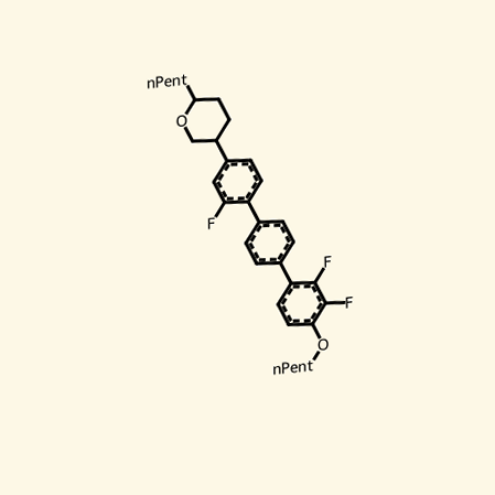 CCCCCOc1ccc(-c2ccc(-c3ccc(C4CCC(CCCCC)OC4)cc3F)cc2)c(F)c1F